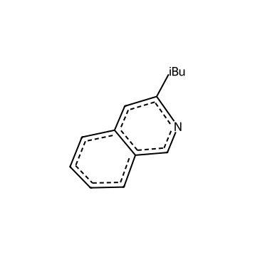 CCC(C)c1cc2ccccc2cn1